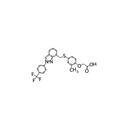 Cc1cc(SCc2cccc3cn(-c4ccc(C(F)(F)F)cc4)nc23)ccc1OCC(=O)O